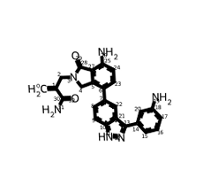 C=C(CN1Cc2c(-c3ccc4[nH]nc(-c5cccc(N)c5)c4c3)ccc(N)c2C1=O)C(N)=O